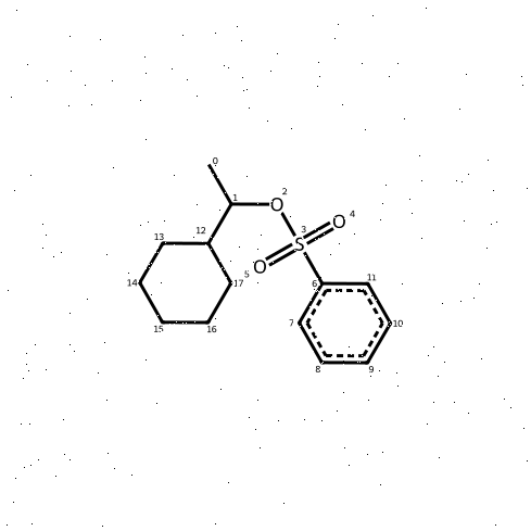 CC(OS(=O)(=O)c1ccccc1)C1CCCCC1